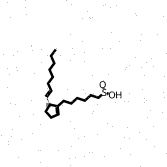 CCCCCCC=C[C@H]1CCC=C1CCCCCCS(=O)O